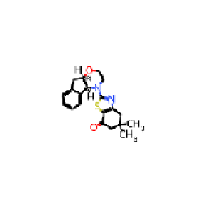 CC1(C)CC(=O)c2sc(N3CCO[C@@H]4Cc5ccccc5[C@@H]43)nc2C1